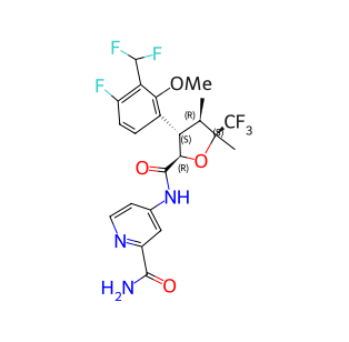 COc1c([C@@H]2[C@@H](C)[C@@](C)(C(F)(F)F)O[C@H]2C(=O)Nc2ccnc(C(N)=O)c2)ccc(F)c1C(F)F